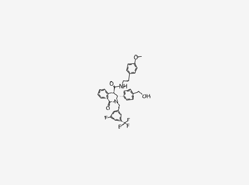 COc1ccc(CCNC(=O)[C@@H]2c3ccccc3C(=O)N(Cc3cc(F)cc(C(F)(F)F)c3)[C@H]2c2ccc(CO)cc2)cc1